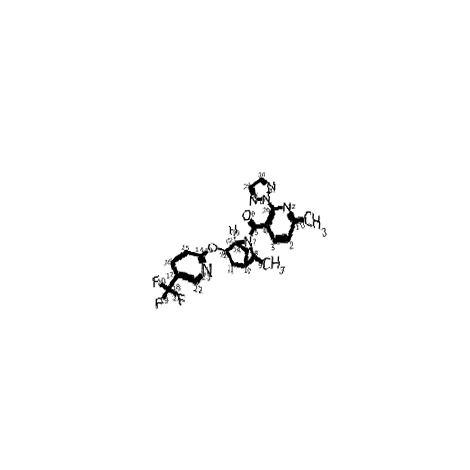 Cc1ccc(C(=O)N2C(C)C3C[C@@H](Oc4ccc(C(F)(F)F)cn4)[C@@H]2C3)c(-n2nccn2)n1